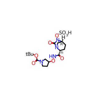 CC(C)(C)OC(=O)N1CCC(ONC(=O)[C@@H]2CC[C@@H]3CN2C(=O)N3OS(=O)(=O)O)C1